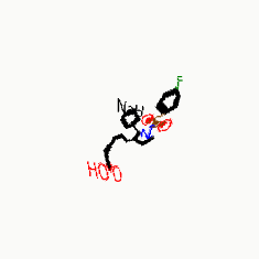 O=C(O)CC/C=C\C[C@@H]1CCN(S(=O)(=O)c2ccc(F)cc2)[C@@H]1c1ccccc1.[NaH]